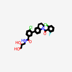 O=C(NCC(O)CO)c1ccc(Cl)c(-c2ccc3c(c2)CCCN3C(=O)c2c(F)cccc2Cl)c1